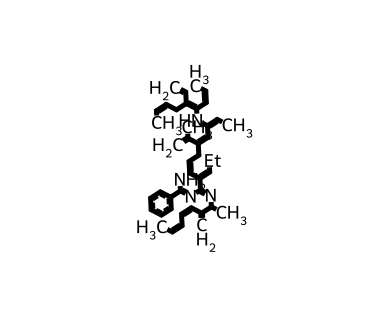 C=C/C(C/C=C\C)=C(\C=C/C)NC(/C=C(/C\C=C/C(=C\CC)C(=N/C(C)C(=C)/C=C\C=C/C)/N=C(\N)c1ccccc1)C(=C)C)=C/C